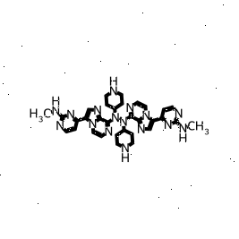 CNc1nccc(-c2cnc3c(N(C4CCNCC4)N(c4nccn5c(-c6ccnc(NC)n6)cnc45)C4CCNCC4)nccn23)n1